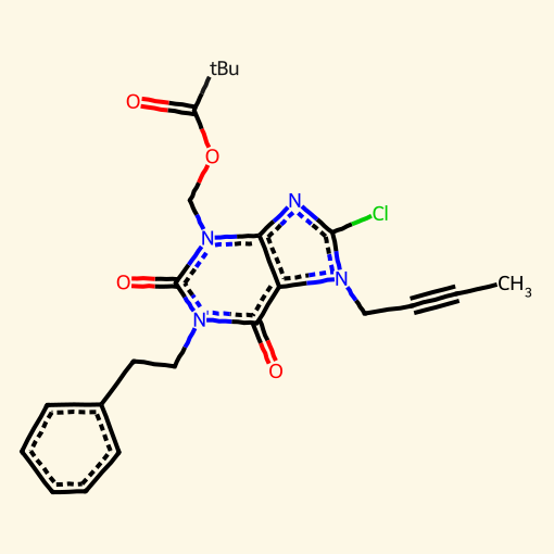 CC#CCn1c(Cl)nc2c1c(=O)n(CCc1ccccc1)c(=O)n2COC(=O)C(C)(C)C